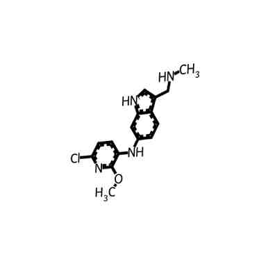 CNCc1c[nH]c2cc(Nc3ccc(Cl)nc3OC)ccc12